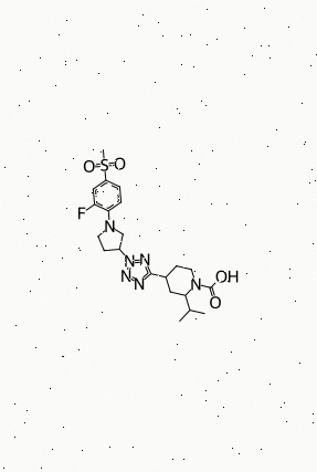 CC(C)C1CC(c2nnn(C3CCN(c4ccc(S(C)(=O)=O)cc4F)C3)n2)CCN1C(=O)O